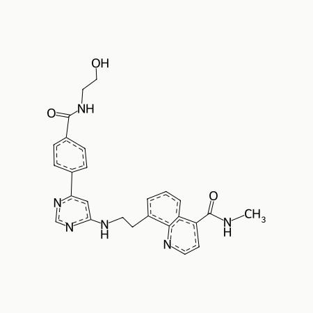 CNC(=O)c1ccnc2c(CCNc3cc(-c4ccc(C(=O)NCCO)cc4)ncn3)cccc12